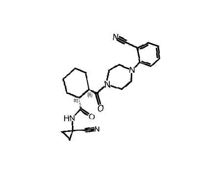 N#Cc1ccccc1N1CCN(C(=O)[C@@H]2CCCC[C@H]2C(=O)NC2(C#N)CC2)CC1